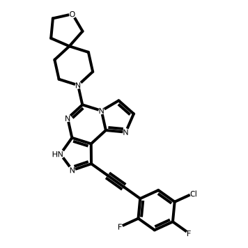 Fc1cc(F)c(C#Cc2n[nH]c3nc(N4CCC5(CCOC5)CC4)n4ccnc4c23)cc1Cl